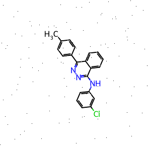 Cc1ccc(-c2nnc(Nc3cccc(Cl)c3)c3ccccc23)cc1